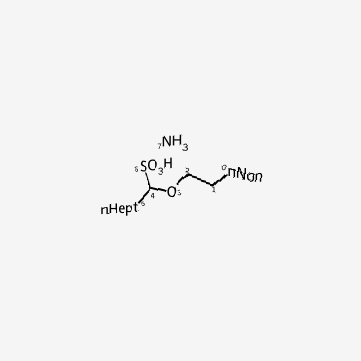 CCCCCCCCCCCOC(CCCCCCC)S(=O)(=O)O.N